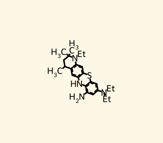 CCN(CC)c1cc(N)c2c(c1)Sc1cc3c(cc1N2)C(C)CC(C)(C)N3CC